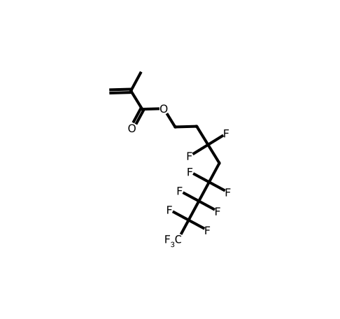 C=C(C)C(=O)OCCC(F)(F)CC(F)(F)C(F)(F)C(F)(F)C(F)(F)F